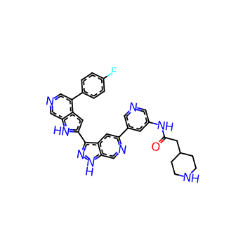 O=C(CC1CCNCC1)Nc1cncc(-c2cc3c(-c4cc5c(-c6ccc(F)cc6)cncc5[nH]4)n[nH]c3cn2)c1